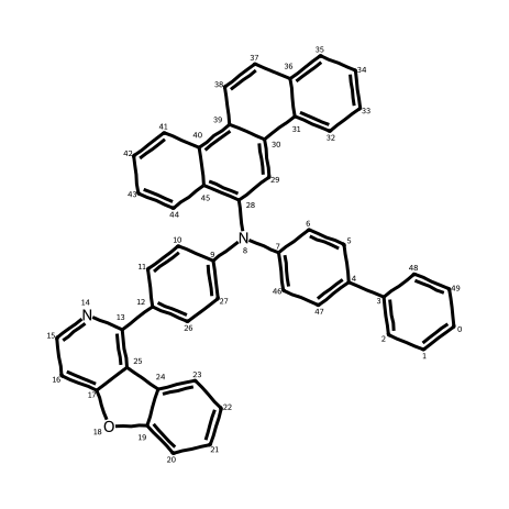 c1ccc(-c2ccc(N(c3ccc(-c4nccc5oc6ccccc6c45)cc3)c3cc4c5ccccc5ccc4c4ccccc34)cc2)cc1